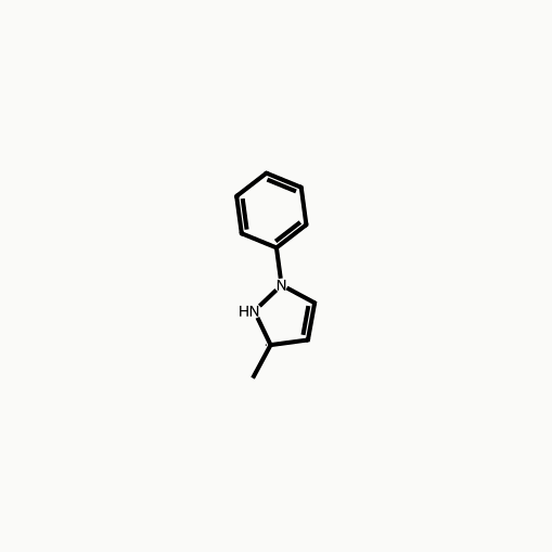 C[C]1C=CN(c2ccccc2)N1